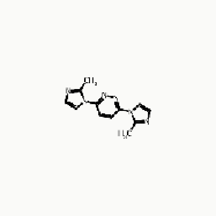 Cc1nccn1-c1ccc(-n2ccnc2C)nn1